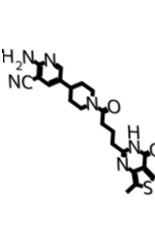 Cc1scc2c(=O)[nH]c(CCCC(=O)N3CCC(c4cnc(N)c(C#N)c4)CC3)nc12